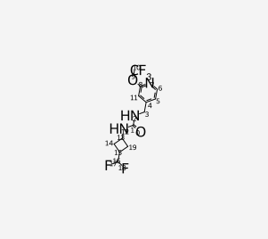 O=C(NCc1ccnc(OC(F)(F)F)c1)NC1CC(C(F)F)C1